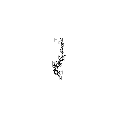 CN(CCOCCOCCN)c1ncc(C(=O)NC2C(C)(C)C(Oc3ccc(C#N)c(Cl)c3)C2(C)C)cn1